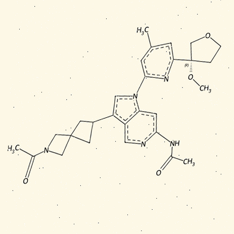 CO[C@@]1(c2cc(C)cc(-n3cc(C4CC5(C4)CN(C(C)=O)C5)c4cnc(NC(C)=O)cc43)n2)CCOC1